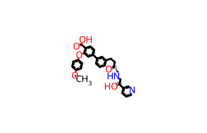 COc1ccc(Oc2cc(-c3ccc4c(c3)CC[C@H](CNC[C@H](O)c3cccnc3)O4)ccc2C(=O)O)cc1